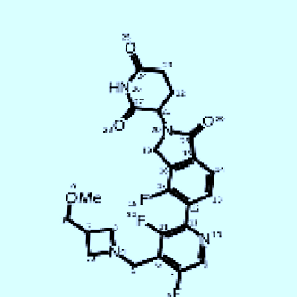 COCC1CN(Cc2c(F)cnc(-c3ccc4c(c3F)CN(C3CCC(=O)NC3=O)C4=O)c2F)C1